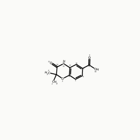 CC1(C)Oc2ccc(C(=O)O)cc2NC1=O